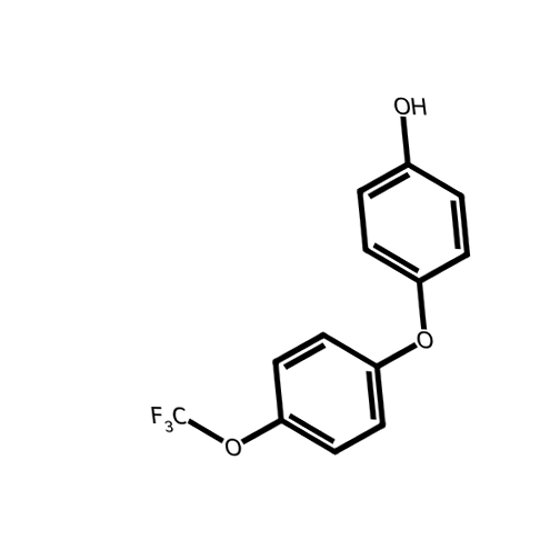 Oc1ccc(Oc2ccc(OC(F)(F)F)cc2)cc1